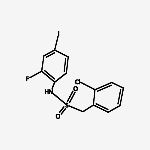 O=S(=O)(Cc1ccccc1Cl)Nc1ccc(I)cc1F